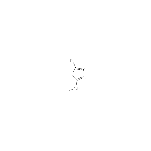 CC(=O)Nc1ncc(S)s1